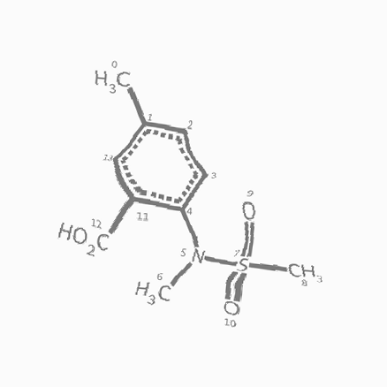 Cc1ccc(N(C)S(C)(=O)=O)c(C(=O)O)c1